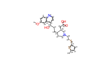 COc1ccc2nccc([C@@H](O)CC[C@@H]3CCN(CCSc4ccc(C)s4)C[C@@H]3CC(=O)O)c2c1